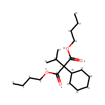 CCCCOC(=O)C(C(=O)OCCCC)(C(C)C)C1CCCCC1